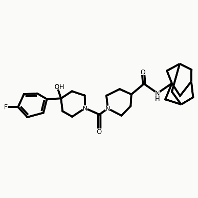 O=C(NC12CC3CC(CC(C3)C1)C2)C1CCN(C(=O)N2CCC(O)(c3ccc(F)cc3)CC2)CC1